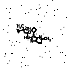 Cc1ccc2nc(NC(=O)C[C@@](C)(O)C3CC3)n(C3CCC3)c2n1